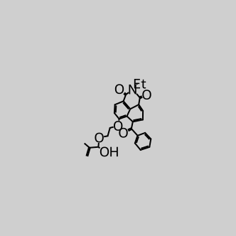 C=C(C)C(O)OCCOc1ccc2c3c(ccc(C(=O)c4ccccc4)c13)C(=O)N(CC)C2=O